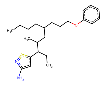 CCCCC(CCCOc1ccccc1)CC(C)C(CC)c1cc(N)ns1